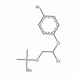 CCC(CO[Si](C)(C)C(C)(C)C)Oc1ccc(C(C)=O)cc1